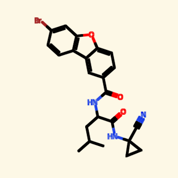 CC(C)CC(NC(=O)c1ccc2oc3cc(Br)ccc3c2c1)C(=O)NC1(C#N)CC1